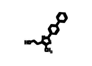 Cc1sc(-c2ccc(-c3ccccc3)cc2)nc1CCO